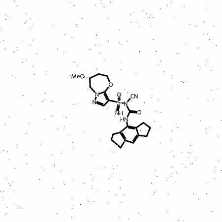 CO[C@@H]1CCOc2c([S@@](=N)(=O)N(C#N)C(=O)Nc3c4c(cc5c3CCC5)CCC4)cnn2C1